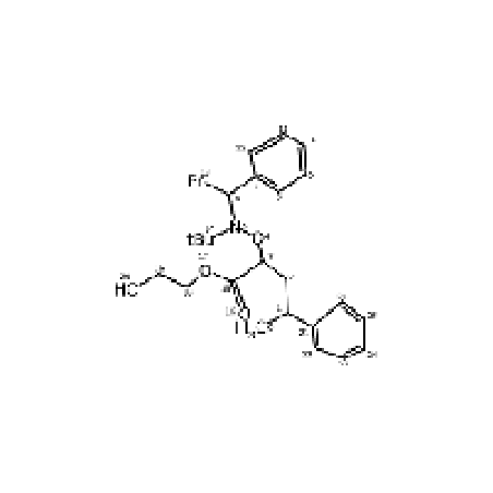 CC(CC(ON(C(c1ccccc1)C(C)C)C(C)(C)C)C(=O)OCCO)c1ccccc1